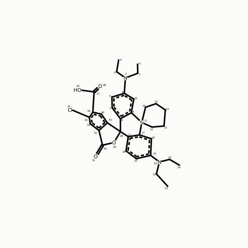 CCN(CC)c1ccc2c(c1)[Si]1(CCCCC1)c1cc(N(CC)CC)ccc1C21OC(=O)c2cc(Cl)c(C(=O)O)cc21